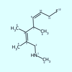 CNC/C(C)=C(/C)C(C)/C=C\CF